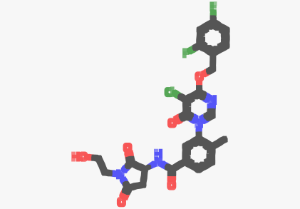 Cc1ccc(C(=O)N[C@H]2CC(=O)N(CCO)C2=O)cc1-n1cnc(OCc2ccc(F)cc2F)c(Cl)c1=O